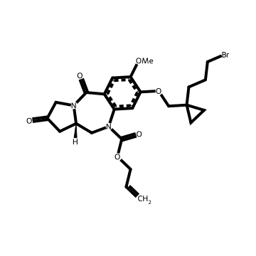 C=CCOC(=O)N1C[C@@H]2CC(=O)CN2C(=O)c2cc(OC)c(OCC3(CCCBr)CC3)cc21